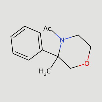 CC(=O)N1CCOCC1(C)c1ccccc1